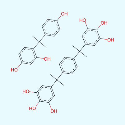 CC(C)(c1ccc(C(C)(C)c2cc(O)c(O)c(O)c2)cc1)c1cc(O)c(O)c(O)c1.CC(C)(c1ccc(O)cc1)c1ccc(O)cc1O